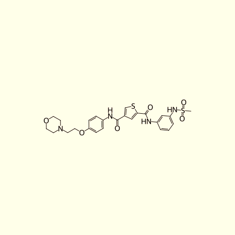 CS(=O)(=O)Nc1cccc(NC(=O)c2cc(C(=O)Nc3ccc(OCCN4CCOCC4)cc3)cs2)c1